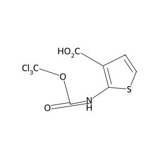 O=C(Nc1sccc1C(=O)O)OC(Cl)(Cl)Cl